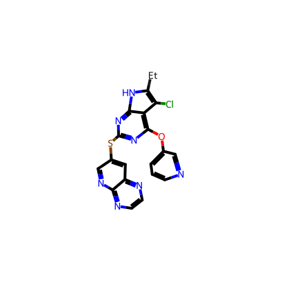 CCc1[nH]c2nc(Sc3cnc4nccnc4c3)nc(Oc3cccnc3)c2c1Cl